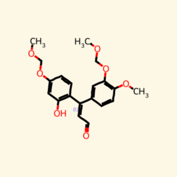 COCOc1ccc(/C(=C/C=O)c2ccc(OC)c(OCOC)c2)c(O)c1